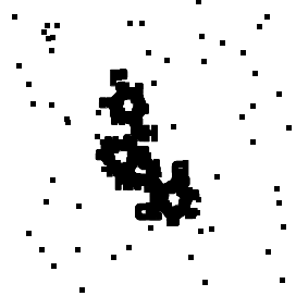 Fc1ccc(Nc2ncnc3[nH]c(-c4c(Cl)cccc4Cl)nc23)nc1